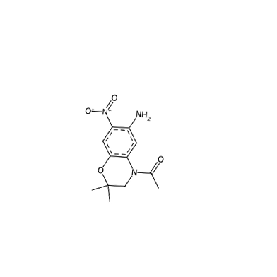 CC(=O)N1CC(C)(C)Oc2cc([N+](=O)[O-])c(N)cc21